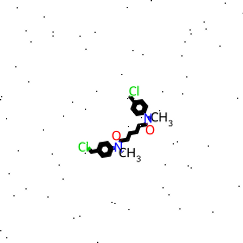 CN(C(=O)CCCCC(=O)N(C)c1ccc(CCl)cc1)c1ccc(CCl)cc1